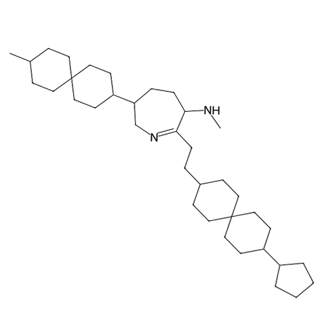 CNC1CCC(C2CCC3(CCC(C)CC3)CC2)CN=C1CCC1CCC2(CC1)CCC(C1CCCC1)CC2